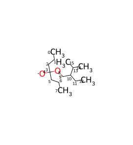 CCCC([O])(CCC)OCC(CC)C(C)C